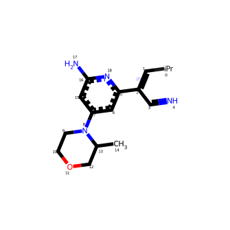 CC(C)/C=C(\C=N)c1cc(N2CCOCC2C)cc(N)n1